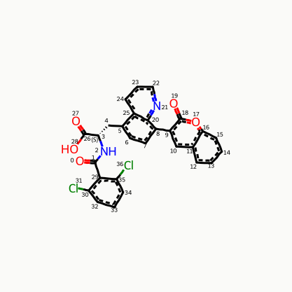 O=C(N[C@@H](Cc1ccc(-c2cc3ccccc3oc2=O)c2ncccc12)C(=O)O)c1c(Cl)cccc1Cl